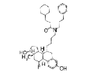 C[C@]12C[C@H](F)[C@@H]3c4ccc(O)cc4C[C@@H](CCCCN(CCCc4ccccc4)C(=O)CCC4CCCCC4)[C@H]3[C@@H]1CC[C@@H]2O